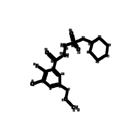 COCc1cc(Cl)c(F)c(C(=O)NNS(=O)(=O)CC2CCCCC2)c1